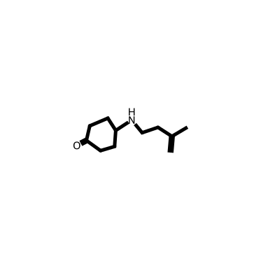 C=C(C)CCNC1CCC(=O)CC1